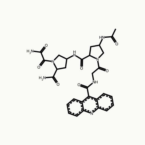 CC(=O)NC1CC(C(=O)NC2CC(C(N)=O)N(C(=O)C(N)=O)C2)N(C(=O)CNC(=O)c2c3ccccc3nc3ccccc23)C1